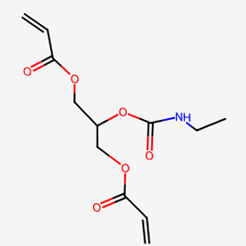 C=CC(=O)OCC(COC(=O)C=C)OC(=O)NCC